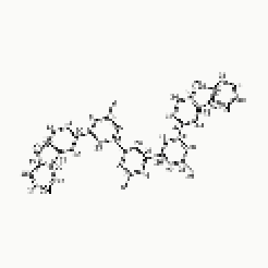 Cc1cc(-c2cc(C)cc(-c3ccc4oc5ccncc5c4c3)c2)cc(-c2cc(C)cc(-c3ccc4oc5cccnc5c4c3)c2)c1